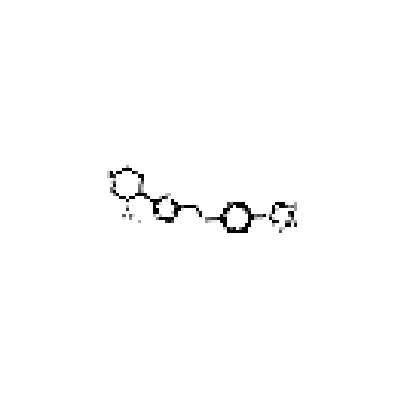 C[C@H]1CNCCC1c1nc(COc2ccc(-n3cnnn3)cc2)cs1